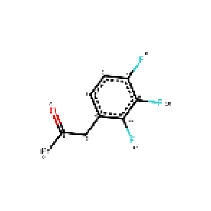 CC(C)C(=O)Cc1ccc(F)c(F)c1F